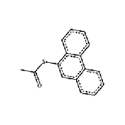 CC(=O)Sc1cc2ccccc2c2ccccc12